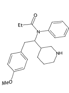 CCC(=O)N(c1ccccc1)C(Cc1ccc(OC)cc1)C1CCCNC1